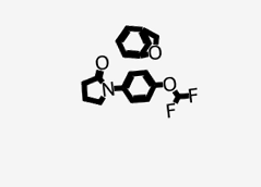 O=C1CCCN1c1ccc(OC(F)F)cc1.c1cc2cc(c1)OC2